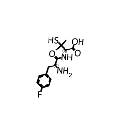 CC(C)(S)[C@@H](NC(=O)[C@@H](N)Cc1ccc(F)cc1)C(=O)O